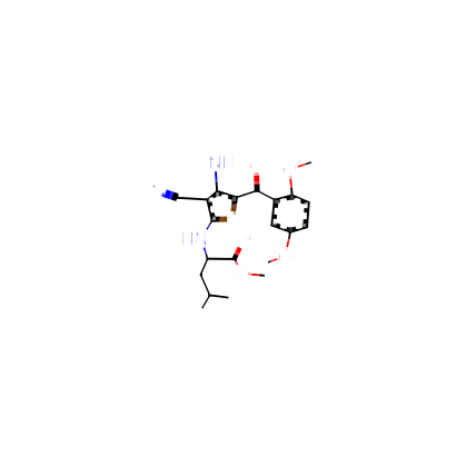 COC(=O)C(CC(C)C)Nc1sc(C(=O)c2cc(OC)ccc2OC)c(N)c1C#N